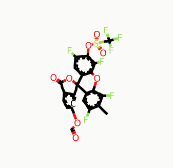 Cc1c(F)cc2c(c1F)Oc1c(cc(F)c(OS(=O)(=O)C(F)(F)F)c1F)C21OC(=O)c2ccc(OC=O)cc21